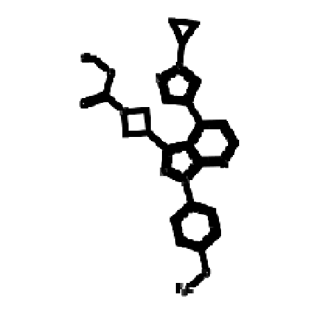 CC(C)(C)OC(=O)N1CC(c2nn(-c3ccc(OC(F)(F)F)cc3)c3nccc(-c4cnn(C5CC5)c4)c23)C1